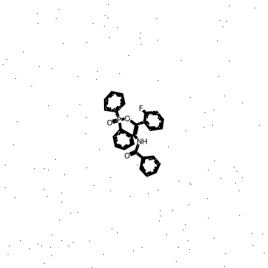 O=C(NC=C(OP(=O)(c1ccccc1)c1ccccc1)c1ccccc1F)c1ccccc1